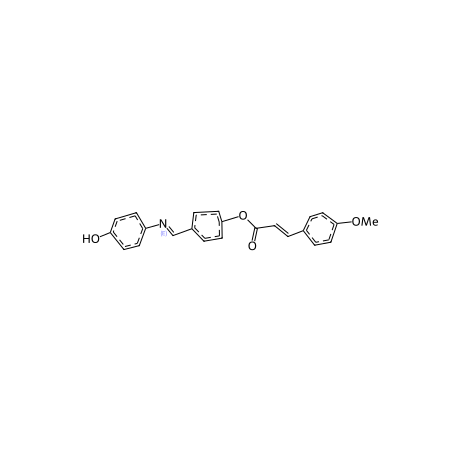 COc1ccc(C=CC(=O)Oc2ccc(/C=N/c3ccc(O)cc3)cc2)cc1